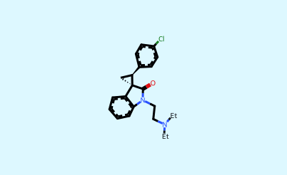 CCN(CC)CCN1C(=O)[C@@]2(C[C@H]2c2ccc(Cl)cc2)c2ccccc21